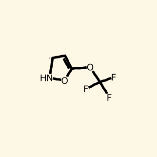 FC(F)(F)OC1=C[CH]NO1